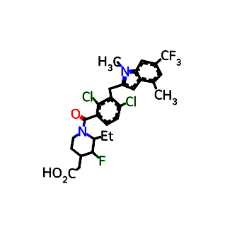 CCC1C(F)C(CC(=O)O)CCN1C(=O)c1ccc(Cl)c(Cc2cc3c(C)cc(C(F)(F)F)cc3n2C)c1Cl